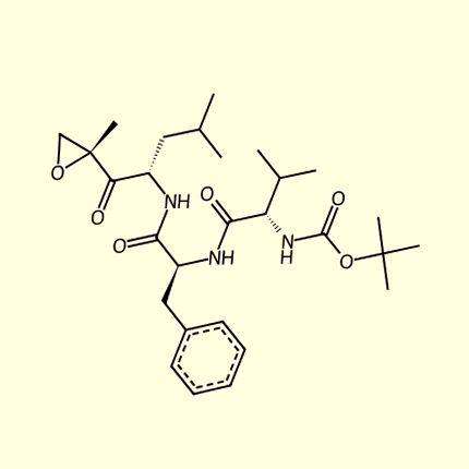 CC(C)C[C@H](NC(=O)[C@H](Cc1ccccc1)NC(=O)[C@@H](NC(=O)OC(C)(C)C)C(C)C)C(=O)[C@@]1(C)CO1